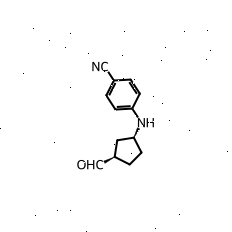 N#Cc1ccc(N[C@H]2CC[C@@H](C=O)C2)cc1